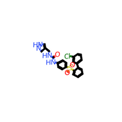 O=C(NCc1cn[nH]c1)Nc1ccc(S(=O)(=O)c2ccccc2-c2cccc(Cl)c2)cc1